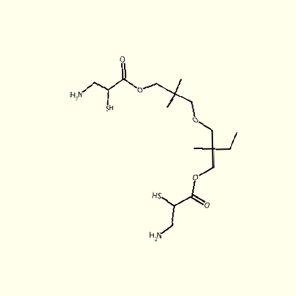 CCC(C)(COCC(C)(C)COC(=O)C(S)CN)COC(=O)C(S)CN